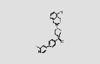 Cc1cc(-c2ccc(C(=O)N3CCN(N4CCc5c(Cl)cccc5C4)CC3)cc2)ccn1